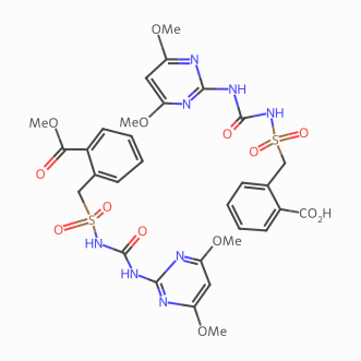 COC(=O)c1ccccc1CS(=O)(=O)NC(=O)Nc1nc(OC)cc(OC)n1.COc1cc(OC)nc(NC(=O)NS(=O)(=O)Cc2ccccc2C(=O)O)n1